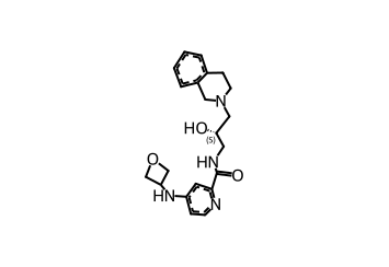 O=C(NC[C@H](O)CN1CCc2ccccc2C1)c1cc(NC2COC2)ccn1